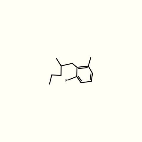 CCCC(C)Cc1c(C)cccc1F